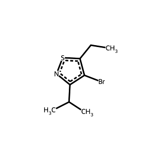 CCc1snc(C(C)C)c1Br